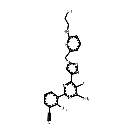 Cc1c(C#N)cccc1-c1nc(N)c(F)c(-c2cn(Cc3cccc(NCCO)n3)nn2)n1